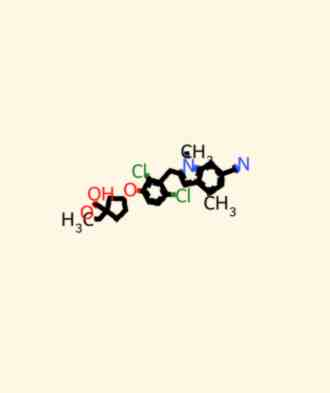 CCC1(C(=O)O)CCC(Oc2ccc(Cl)c(Cc3cc4c(C)cc(C#N)cc4n3C)c2Cl)C1